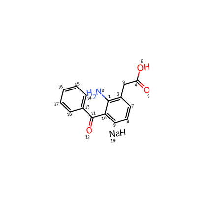 Nc1c(CC(=O)O)cccc1C(=O)c1ccccc1.[NaH]